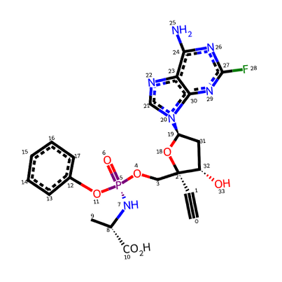 C#C[C@]1(CO[P@@](=O)(N[C@@H](C)C(=O)O)Oc2ccccc2)O[C@@H](n2cnc3c(N)nc(F)nc32)C[C@@H]1O